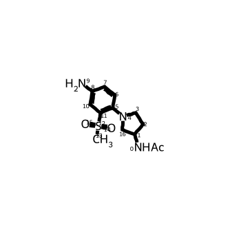 CC(=O)NC1CCN(c2ccc(N)cc2S(C)(=O)=O)C1